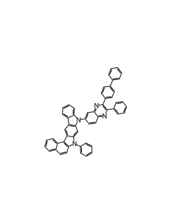 c1ccc(-c2ccc(-c3nc4cc(-n5c6ccccc6c6cc7c8c9ccccc9ccc8n(-c8ccccc8)c7cc65)ccc4nc3-c3ccccc3)cc2)cc1